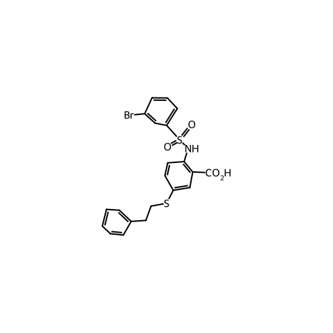 O=C(O)c1cc(SCCc2ccccc2)ccc1NS(=O)(=O)c1cccc(Br)c1